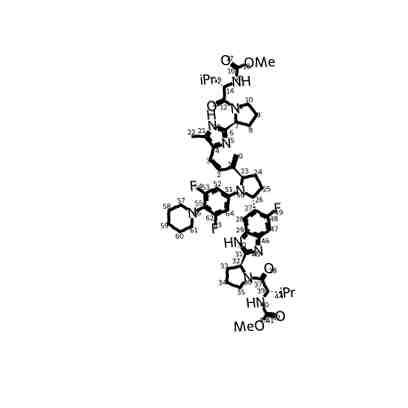 C=C(/C=C\c1nc([C@@H]2CCCN2C(=O)[C@@H](NC(=O)OC)C(C)C)[nH]c1C)[C@H]1CC[C@H](c2cc3[nH]c([C@@H]4CCCN4C(=O)[C@@H](NC(=O)OC)C(C)C)nc3cc2F)N1c1cc(F)c(N2CCCCC2)c(F)c1